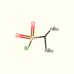 CCCCC(CCCC)S(=O)(=O)Br